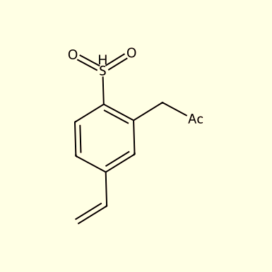 C=Cc1ccc([SH](=O)=O)c(CC(C)=O)c1